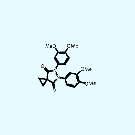 COc1ccc(N2C(=O)C3(CC3)C(=O)N2c2ccc(OC)c(OC)c2)cc1OC